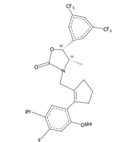 COc1cc(F)c(C(C)C)cc1C1=C(CN2C(=O)O[C@H](c3cc(C(F)(F)F)cc(C(F)(F)F)c3)[C@@H]2C)CCC1